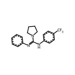 FC(F)(F)c1ccc(NC(=Nc2ccccc2)N2CCCC2)cc1